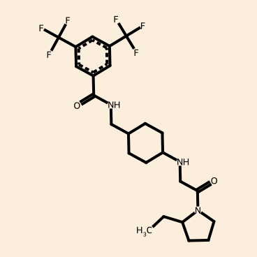 CCC1CCCN1C(=O)CNC1CCC(CNC(=O)c2cc(C(F)(F)F)cc(C(F)(F)F)c2)CC1